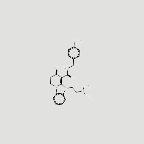 COc1ccc(CNC(=O)C2=C3N(CCC2=O)c2ccccc2N3CCN(C)C)cc1